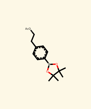 CC(=O)OCCc1ccc(B2OC(C)(C)C(C)(C)O2)cc1